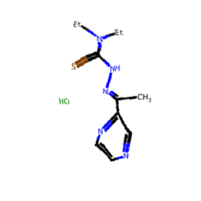 CCN(CC)C(=S)NN=C(C)c1cnccn1.Cl